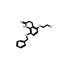 O=C1CCc2c(OCCCl)ccc(OCc3ccccc3)c2N1